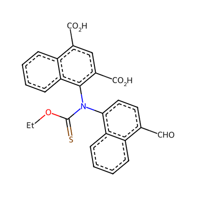 CCOC(=S)N(c1ccc(C=O)c2ccccc12)c1c(C(=O)O)cc(C(=O)O)c2ccccc12